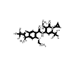 CCSc1cc2c(cc1C(=O)Nc1cc(C(F)(F)F)n(C3CC3)c(=O)c1NC)N=C(C(F)(F)F)C2C